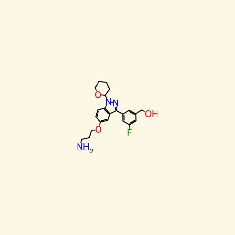 NCCCOc1ccc2c(c1)c(-c1cc(F)cc(CO)c1)nn2C1CCCCO1